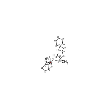 CC(C)(C)CC1C2CCC1CN(CCC(C)(C)CC1CC3(CCCCC3)C1)C2